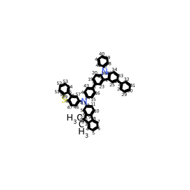 CC1(C)c2ccccc2-c2ccc(N(c3ccc(-c4ccc5c(c4)c4cc(-c6ccccc6)ccc4n5-c4ccccc4)cc3)c3ccc4sc5ccccc5c4c3)cc21